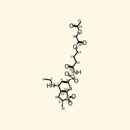 CCN[C@H]1C=C(S(=O)(=O)NC(=O)CCCOC(=O)COC(C)=O)SC2=C1C[C@H](C)S2(=O)=O